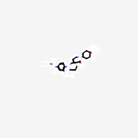 Cc1cc(NC(=O)O)ccc1N1CCC[C@]2(CCN([C@H]3CC[C@](C)(O)CC3)C2=O)C1